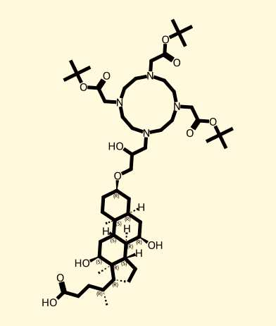 C[C@H](CCC(=O)O)[C@H]1CC[C@H]2[C@@H]3[C@H](O)C[C@@H]4C[C@H](OCC(O)CN5CCN(CC(=O)OC(C)(C)C)CCN(CC(=O)OC(C)(C)C)CCN(CC(=O)OC(C)(C)C)CC5)CC[C@]4(C)[C@H]3C[C@H](O)[C@]12C